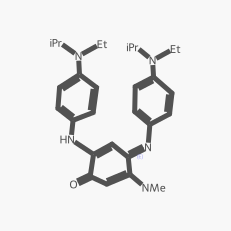 CCN(c1ccc(/N=C2\C=C(Nc3ccc(N(CC)C(C)C)cc3)C(=O)C=C2NC)cc1)C(C)C